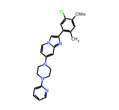 COc1cc(C)c(-c2cn3ccc(N4CCN(c5ccccn5)CC4)cc3n2)cc1Cl